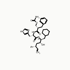 C=C[C@@H](C[C@@H](O)[C@H](CC1CCCCC1)NC(=O)[C@H](Cc1c[nH]cn1)NC(=O)[C@H](COC(N)=O)Cc1ccccc1)C(C)C